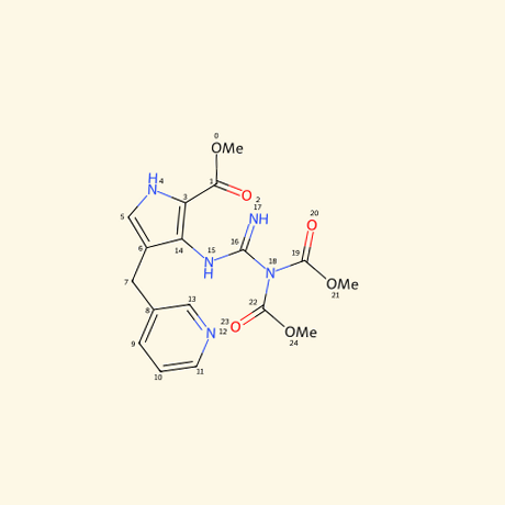 COC(=O)c1[nH]cc(Cc2cccnc2)c1NC(=N)N(C(=O)OC)C(=O)OC